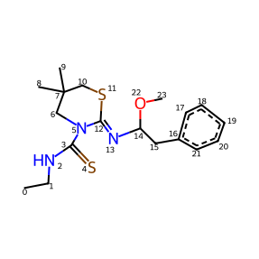 CCNC(=S)N1CC(C)(C)CSC1=NC(Cc1ccccc1)OC